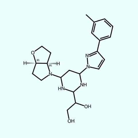 Cc1cccc(-c2ccn(C3CC(N4CC[C@H]5OCC[C@H]54)NC(C(O)CO)N3)n2)c1